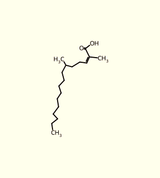 CCCCCCCCCCC(C)CCC=C(C)C(=O)O